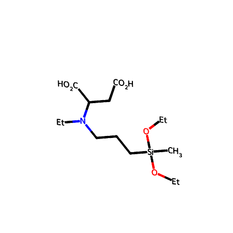 CCO[Si](C)(CCCN(CC)C(CC(=O)O)C(=O)O)OCC